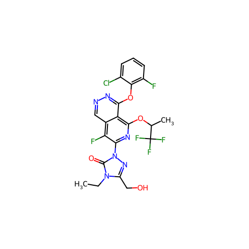 CCn1c(CO)nn(-c2nc(OC(C)C(F)(F)F)c3c(Oc4c(F)cccc4Cl)nncc3c2F)c1=O